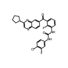 O=C(Nc1ccc(Cl)c(F)c1)Nc1cccc(C(=O)c2ccc3ncc(N4CCCC4)nc3c2)c1F